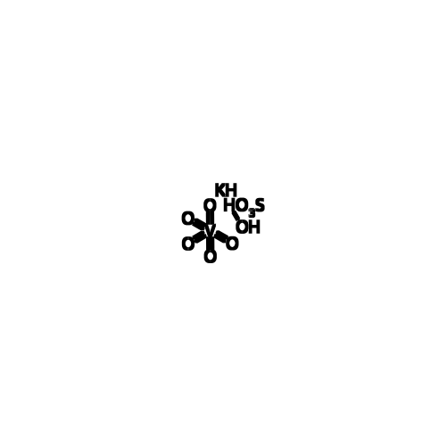 O=S(=O)(O)O.[KH].[O]=[V](=[O])(=[O])(=[O])=[O]